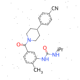 Cc1ccc(C(=O)N2CCC(c3ccc(C#N)cc3)CC2)cc1NC(=O)NC(C)C